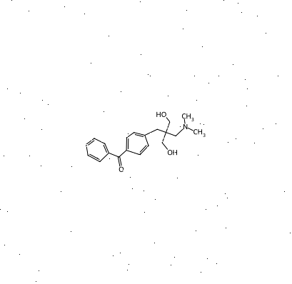 CN(C)CC(CO)(CO)Cc1ccc(C(=O)c2ccccc2)cc1